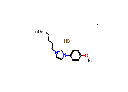 Br.CCCCCCCCCCCCCCN1C=CN(c2ccc(OCC)cc2)C1